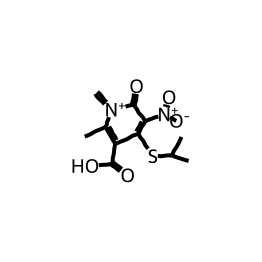 C=[N+]1C(=O)C([N+](=O)[O-])=C(SC(C)C)C(C(=O)O)=C1C